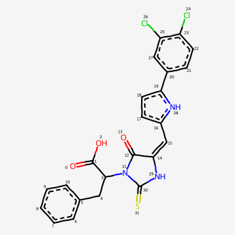 O=C(O)C(Cc1ccccc1)N1C(=O)/C(=C\c2ccc(-c3ccc(Cl)c(Cl)c3)[nH]2)NC1=S